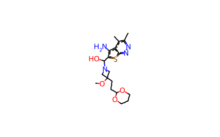 COC1(CCC2OCCCO2)CN(C(O)c2sc3nnc(C)c(C)c3c2N)C1